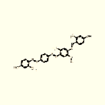 CCOc1cc(N=Nc2ccc(N=Nc3ccc(O)cc3C)cc2)c(C)cc1N=Nc1ccc(O)cc1C